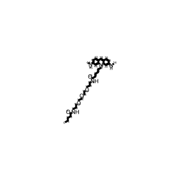 CCCCC(=O)NCCCOCCOCCOCCCNC(=O)CCCCC[n+]1c2cc(N(C)C)ccc2cc2ccc(N(C)C)cc21